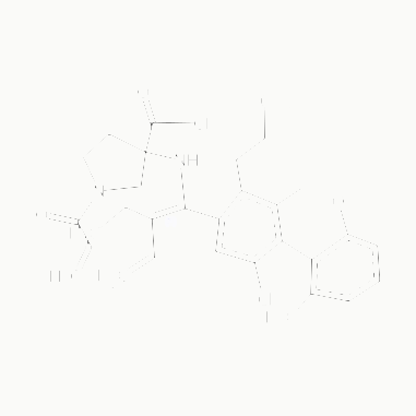 C=CC(=O)N1CCC(N/C(=C(/C=C)CC)c2cc(Cl)c(-c3c(C)cccc3O)c(F)c2CCC)(C(C)=O)C1